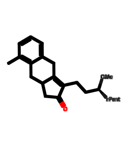 CCCCC[C@@H](CCC1=C2Cc3cccc(C)c3CC2CC1=O)OC